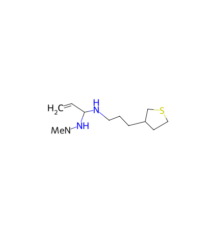 C=CC(NCCCC1CCSC1)NNC